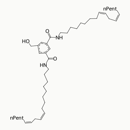 CCCCC/C=C\C/C=C\CCCCCCCCNC(=O)c1cc(CO)cc(C(=O)NCCCCCCCC/C=C\C/C=C\CCCCC)c1